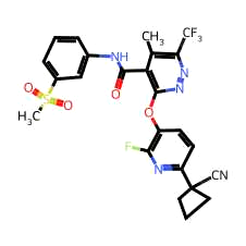 Cc1c(C(F)(F)F)nnc(Oc2ccc(C3(C#N)CCC3)nc2F)c1C(=O)Nc1cccc(S(C)(=O)=O)c1